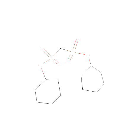 O=S(=O)(CS(=O)(=O)OC1CCCCC1)OC1CCCCC1